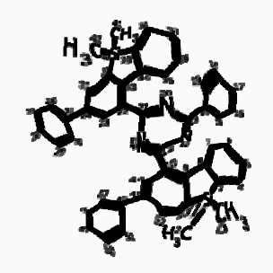 C[Si]1(C)c2ccccc2-c2c(-c3nc(-c4ccccc4)nc(-c4cc(-c5ccccc5)cc5c4-c4ccccc4[Si]5(C)C)n3)cc(-c3ccccc3)cc21